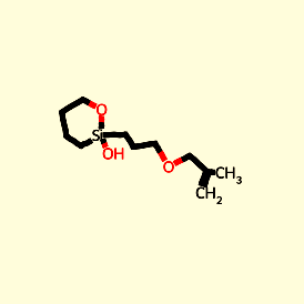 C=C(C)COCCC[Si]1(O)CCCCO1